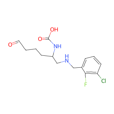 O=CCCCC(CNCc1cccc(Cl)c1F)NC(=O)O